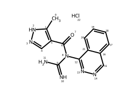 Cc1[nH]ncc1C(=O)N(C(=N)N)c1nncc2ccccc12.Cl